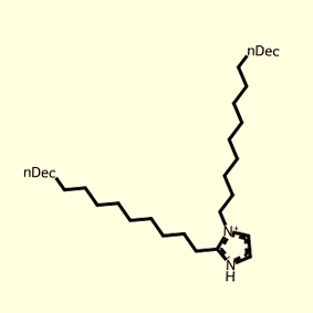 CCCCCCCCCCCCCCCCCCCc1[nH]cc[n+]1CCCCCCCCCCCCCCCCCCC